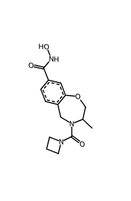 CC1COc2cc(C(=O)NO)ccc2CN1C(=O)N1CCC1